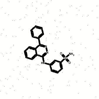 NS(=O)(=O)c1cccc(Nc2nnc(-c3ccccc3)c3ccccc23)c1